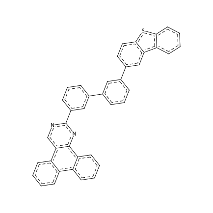 c1cc(-c2cccc(-c3ncc4c5ccccc5c5ccccc5c4n3)c2)cc(-c2ccc3sc4ccccc4c3c2)c1